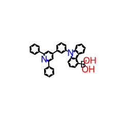 OB(O)c1cccc2c1c1ccccc1n2-c1cccc(-c2cc(-c3ccccc3)nc(-c3ccccc3)c2)c1